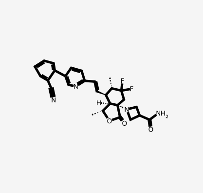 C[C@H]1OC(=O)[C@]2(N3CC(C(N)=O)C3)CC(F)(F)[C@@H](C)[C@H](/C=C/c3ccc(-c4ccccc4C#N)cn3)[C@H]12